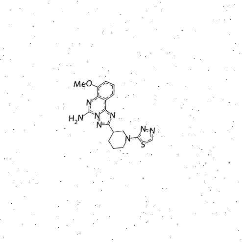 COc1cccc2c1nc(N)n1nc(C3CCCN(c4nncs4)C3)nc21